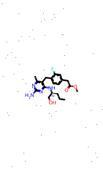 CCC[C@@H](CO)Nc1nc(N)nc(C)c1Cc1ccc(CC(=O)OC)cc1F